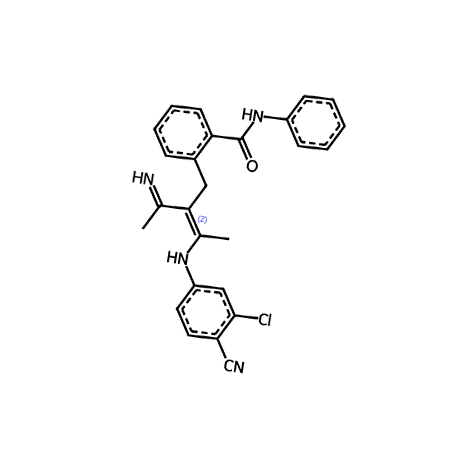 CC(=N)/C(Cc1ccccc1C(=O)Nc1ccccc1)=C(/C)Nc1ccc(C#N)c(Cl)c1